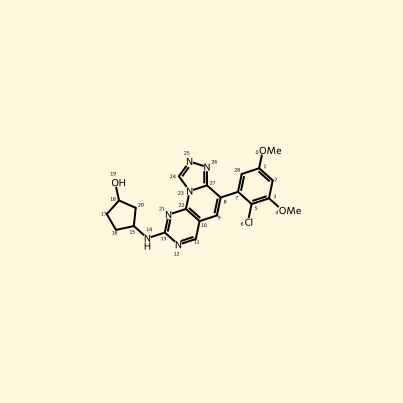 COc1cc(OC)c(Cl)c(-c2cc3cnc(NC4CCC(O)C4)nc3n3cnnc23)c1